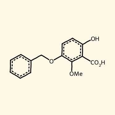 COc1c(OCc2ccccc2)ccc(O)c1C(=O)O